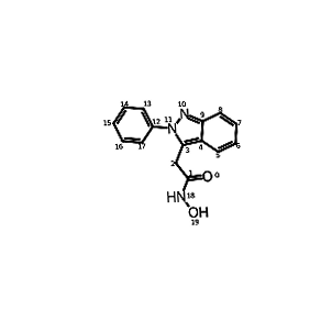 O=C(Cc1c2ccccc2nn1-c1ccccc1)NO